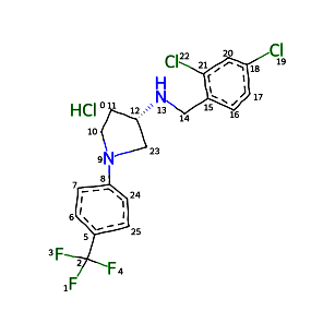 Cl.FC(F)(F)c1ccc(N2CC[C@H](NCc3ccc(Cl)cc3Cl)C2)cc1